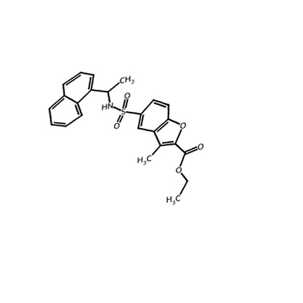 CCOC(=O)c1oc2ccc(S(=O)(=O)NC(C)c3cccc4ccccc34)cc2c1C